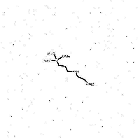 CCOCCNCCC[Si](OC)(OC)OC